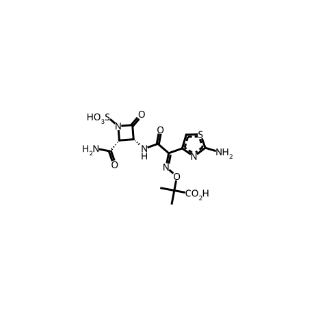 CC(C)(O/N=C(/C(=O)N[C@H]1C(=O)N(S(=O)(=O)O)[C@H]1C(N)=O)c1csc(N)n1)C(=O)O